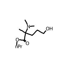 CCCOC(=O)C(C)(CCCO)N(C)C